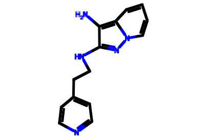 Nc1c(NCCc2ccncc2)nn2ccccc12